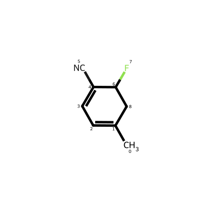 CC1=CC=C(C#N)C(F)C1